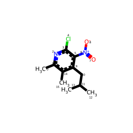 Cc1nc(Cl)c([N+](=O)[O-])c(CC(C)C)c1C